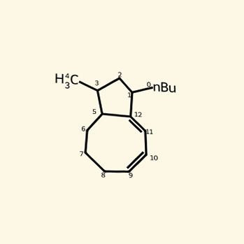 CCCCC1CC(C)C2CCC/C=C\C=C\12